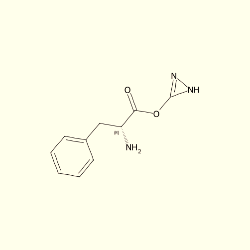 N[C@H](Cc1ccccc1)C(=O)OC1=NN1